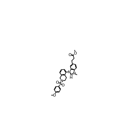 COC(=O)CCc1ccc2c(c1)N(c1cccc3c1CCN(S(=O)(=O)c1ccc(OC)cc1)C3)NN2C